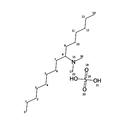 CCCCCCCCC(CCCCCC)N(C)C.O=S(=O)(O)O